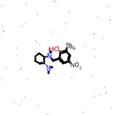 CN(C)[C@@H]1CCCC[C@H]1N(C)Cc1cc([N+](=O)[O-])cc(C(C)(C)C)c1O